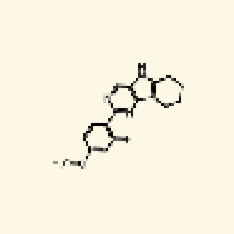 COc1ccc(-c2ncc3[nH]c4c(c3n2)CCCC4)c(F)c1